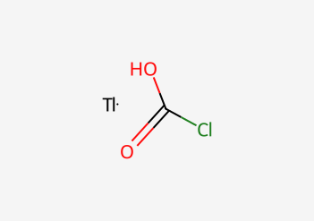 O=C(O)Cl.[Tl]